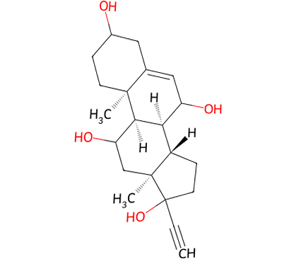 C#CC1(O)CC[C@H]2[C@@H]3C(O)C=C4CC(O)CC[C@]4(C)[C@@H]3C(O)C[C@@]21C